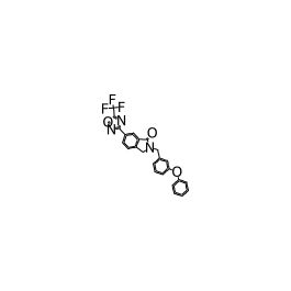 O=C1c2cc(-c3noc(C(F)(F)F)n3)ccc2CN1Cc1cccc(Oc2ccccc2)c1